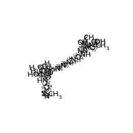 C=CCn1c(=O)c2cnc(Nc3ccc(N4CCN(C5CN(C6CN(CCC(=O)N[C@H](C(=O)N7C[C@H](O)C[C@H]7C(=O)NCc7ccc(-c8scnc8C)cc7)C(C)(C)C)C6)C5)CC4)cc3)nc2n1-c1cccc(C(C)(C)O)n1